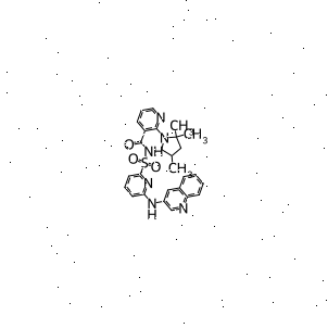 CC1CN(c2ncccc2C(=O)NS(=O)(=O)c2cccc(Nc3cnc4ccccc4c3)n2)C(C)(C)C1